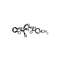 CN1CCC(C(=O)Nc2nccc(/C(C#N)=C3\Nc4ccccc4O3)n2)CC1